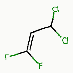 FC(F)=CC(Cl)Cl